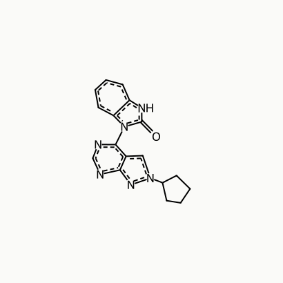 O=c1[nH]c2ccccc2n1-c1ncnc2nn(C3CCCC3)cc12